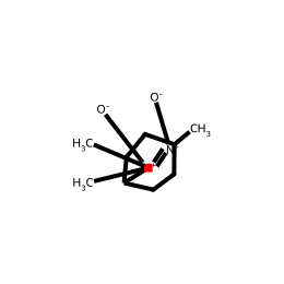 CC12CCC(CC1)C(C)(C)[N+]([O-])=[N+]2[O-]